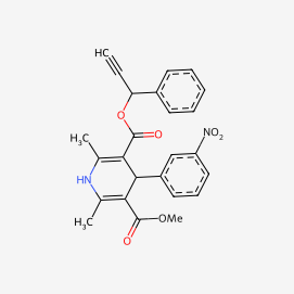 C#CC(OC(=O)C1=C(C)NC(C)=C(C(=O)OC)C1c1cccc([N+](=O)[O-])c1)c1ccccc1